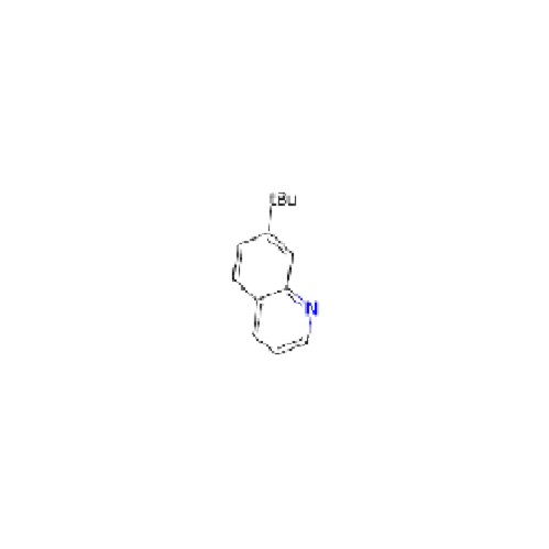 CC(C)(C)c1ccc2cccnc2c1